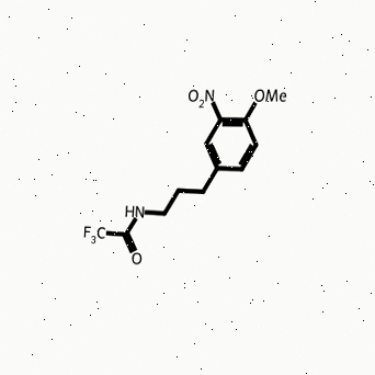 COc1ccc(CCCNC(=O)C(F)(F)F)cc1[N+](=O)[O-]